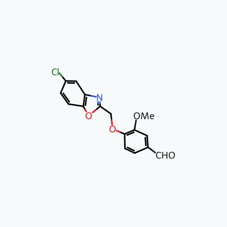 COc1cc(C=O)ccc1OCc1nc2cc(Cl)ccc2o1